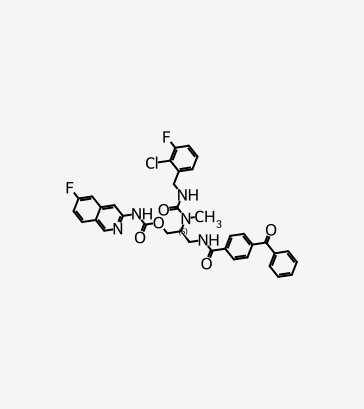 CN(C(=O)NCc1cccc(F)c1Cl)[C@@H](CNC(=O)c1ccc(C(=O)c2ccccc2)cc1)COC(=O)Nc1cc2cc(F)ccc2cn1